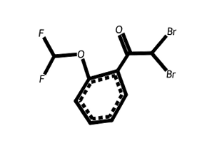 O=C(c1ccccc1OC(F)F)C(Br)Br